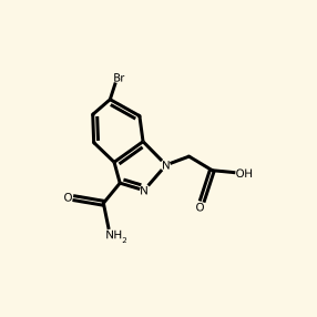 NC(=O)c1nn(CC(=O)O)c2cc(Br)ccc12